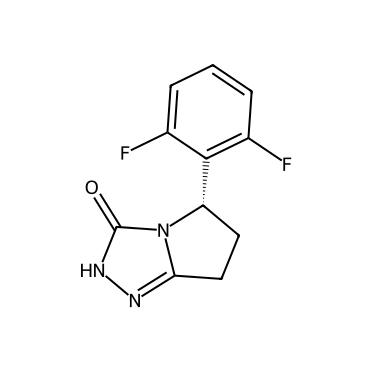 O=c1[nH]nc2n1[C@H](c1c(F)cccc1F)CC2